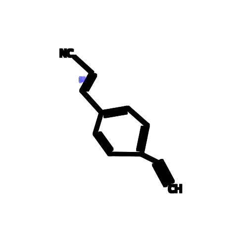 C#Cc1ccc(/C=C/C#N)cc1